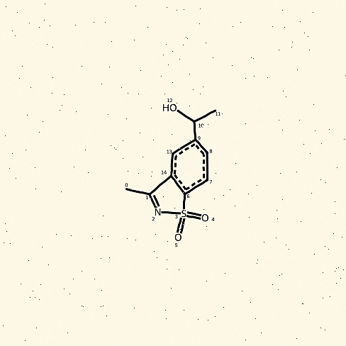 CC1=NS(=O)(=O)c2ccc(C(C)O)cc21